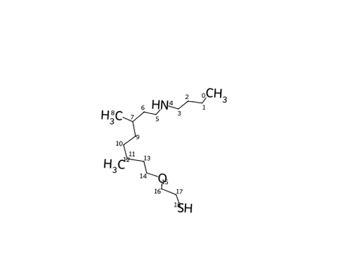 CCCCNCCC(C)CCC(C)CCOCCS